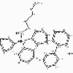 CCCCCN[PH](c1ccccc1)(c1ccccc1)c1ccccc1.P.c1ccc(-c2ccccc2)cc1